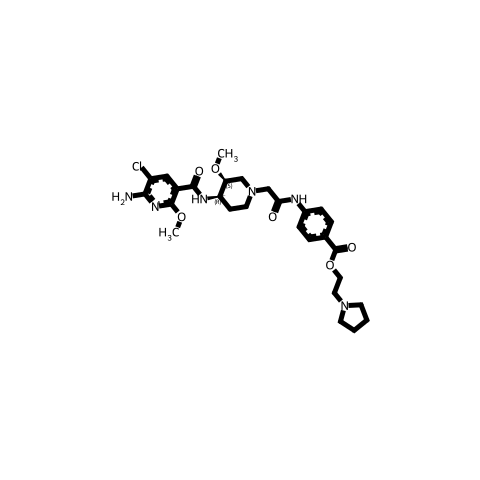 COc1nc(N)c(Cl)cc1C(=O)N[C@@H]1CCN(CC(=O)Nc2ccc(C(=O)OCCN3CCCC3)cc2)C[C@@H]1OC